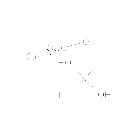 O=C([O-])[O-].[Ca+2].[Na+].[O-][Si](O)(O)O